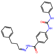 O=C(Nc1ccccc1)Nc1ccc(C(=O)N/N=C\CCc2ccccc2)cc1